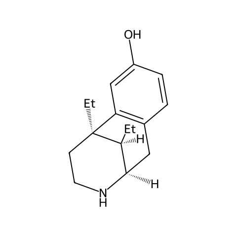 CC[C@H]1[C@H]2Cc3ccc(O)cc3[C@]1(CC)CCN2